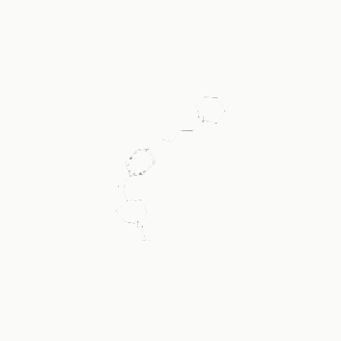 CC(=O)N1CCC(Oc2ccc(OCCCN3CCCCC3)cc2)CC1